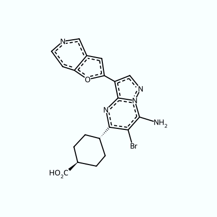 Nc1c(Br)c([C@H]2CC[C@H](C(=O)O)CC2)nc2c(-c3cc4cnccc4o3)cnn12